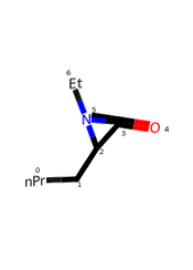 CCCCC1C(=O)N1CC